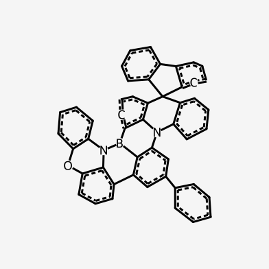 c1ccc(-c2cc3c4c(c2)N2c5ccccc5C5(c6ccccc6-c6ccccc65)c5cccc(c52)B4N2c4ccccc4Oc4cccc-3c42)cc1